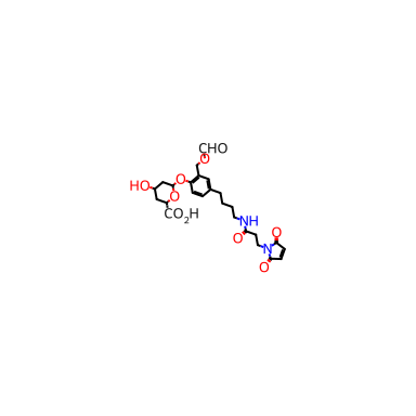 O=COCc1cc(CCCCNC(=O)CCN2C(=O)C=CC2=O)ccc1OC1CC(O)CC(C(=O)O)O1